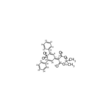 CC1(C)OC(=O)C(=C2C=C(c3ccccc3)S(=O)(=O)C(c3ccccc3)=C2)C(=O)O1